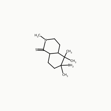 BC1(C)CCC2C(=S)N(C)CCC2C1(C)C